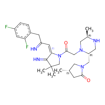 C[C@H]1CC(=O)N(C[C@H]2CN[C@H](C)CN2CC(=O)N2CC(C)(C)C(=N)/C2=C\C(=N)Cc2ccc(F)cc2F)C1